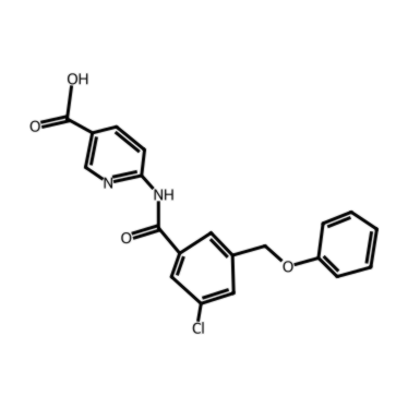 O=C(O)c1ccc(NC(=O)c2cc(Cl)cc(COc3ccccc3)c2)nc1